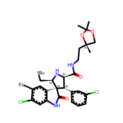 CCc1cc2c(cc1Cl)NC(=O)[C@]21[C@@H](CC(C)(C)C)N[C@@H](C(=O)NCC[C@@]2(C)COC(C)(C)O2)[C@@H]1c1cccc(Cl)c1